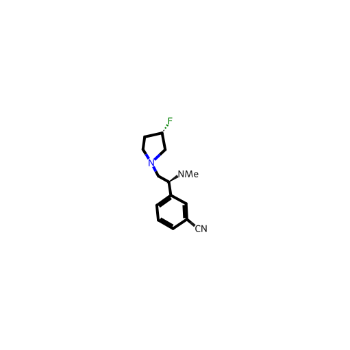 CN[C@H](CN1CC[C@H](F)C1)c1cccc(C#N)c1